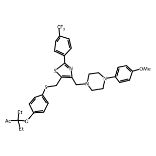 CCC(CC)(Oc1ccc(SCc2sc(-c3ccc(C(F)(F)F)cc3)nc2CN2CCN(c3ccc(OC)cc3)CC2)cc1)C(C)=O